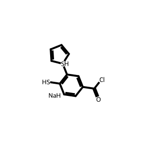 O=C(Cl)c1ccc(S)c([SH]2C=CC=C2)c1.[NaH]